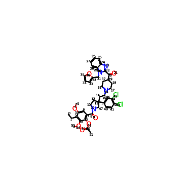 CCc1c(OC)cc(C(=O)N2CCC(CCN3CCC(C(=O)c4nc5ccccc5n4Cc4ccco4)CC3)(c3ccc(Cl)c(Cl)c3)C2)c(OC(C)=O)c1OC